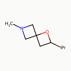 CC(C)C1CC2(CN(C)C2)O1